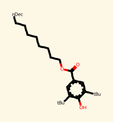 CCCCCCCCCCCCCCCCCCOC(=O)c1cc(C(C)(C)C)c(O)c(C(C)(C)C)c1